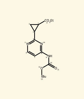 CCOC(=O)C1CC1c1nccc(NC(=O)OC(C)(C)C)n1